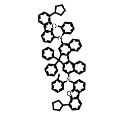 Cc1ccccc1N(c1cc2c(c3ccccc13)-c1c(cc(N(c3ccccc3C)c3cccc4c3oc3c(C5CCCC5)cccc34)c3ccccc13)C2(c1ccccc1)c1ccccc1)c1cccc2c1oc1c(C3CCCC3)cccc12